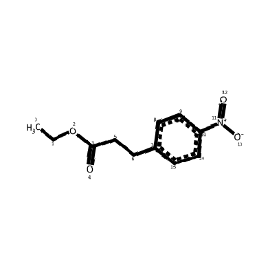 CCOC(=O)CCc1ccc([N+](=O)[O-])cc1